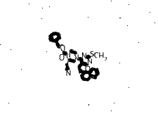 CSc1nc2c(c(N3CCN(C(=O)OCc4ccccc4)[C@@H](CC#N)C3)n1)CCC1(CCCc3ccccc31)O2